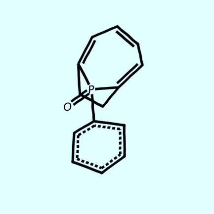 O=P1(c2ccccc2)C2=CC=CC=C1CC2